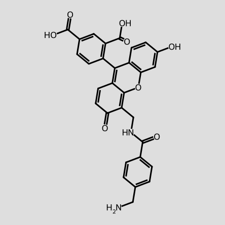 NCc1ccc(C(=O)NCc2c3oc4cc(O)ccc4c(-c4ccc(C(=O)O)cc4C(=O)O)c-3ccc2=O)cc1